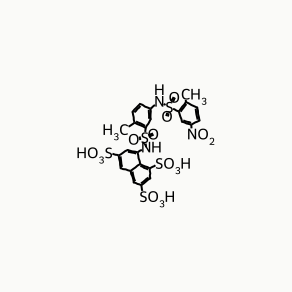 Cc1ccc([N+](=O)[O-])cc1S(=O)(=O)Nc1ccc(C)c(S(=O)(=O)Nc2cc(S(=O)(=O)O)cc3cc(S(=O)(=O)O)cc(S(=O)(=O)O)c23)c1